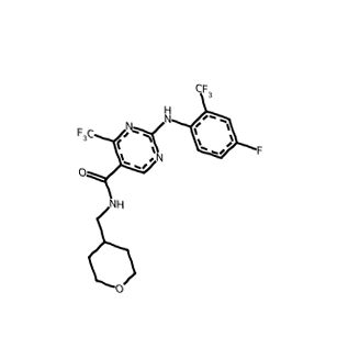 O=C(NCC1CCOCC1)c1cnc(Nc2ccc(F)cc2C(F)(F)F)nc1C(F)(F)F